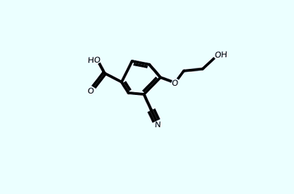 N#Cc1cc(C(=O)O)ccc1OCCO